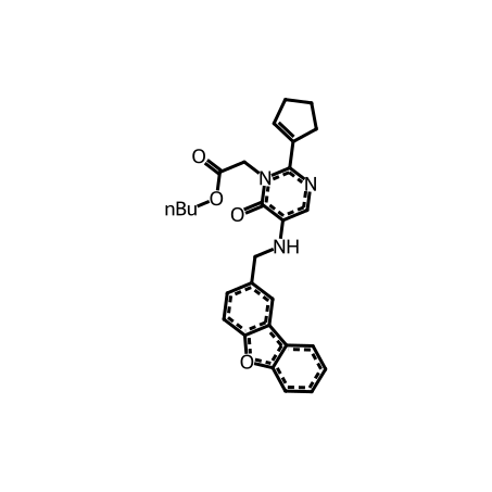 CCCCOC(=O)Cn1c(C2=CCCC2)ncc(NCc2ccc3oc4ccccc4c3c2)c1=O